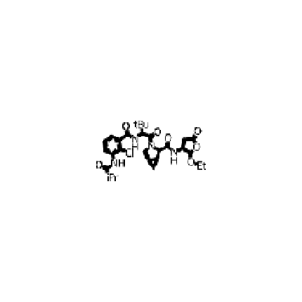 CCOC1OC(=O)CC1NC(=O)C1C2CC2=CN1C(=O)C(NC(=O)c1cccc(NC(=O)C(C)C)c1Cl)C(C)(C)C